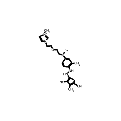 CCN(CCOCCn1cc[n+](C)c1)c1ccc(NNc2sc(C#N)c(C)c2C#N)c(C)c1